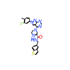 Cc1ccc(-n2cc3c(N4CCN[C@@H](C(=O)NCc5ccc6sccc6c5)C4)ncnc3n2)cc1F